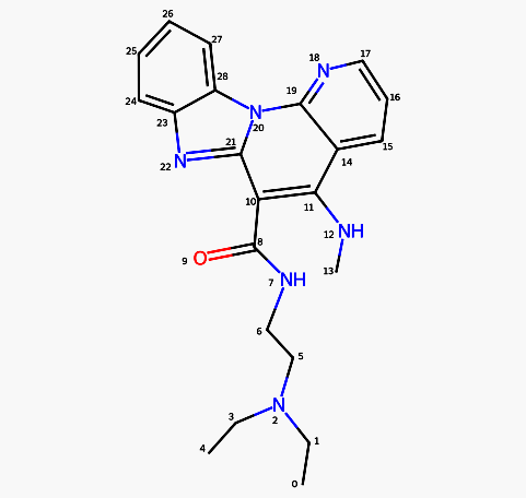 CCN(CC)CCNC(=O)c1c(NC)c2cccnc2n2c1nc1ccccc12